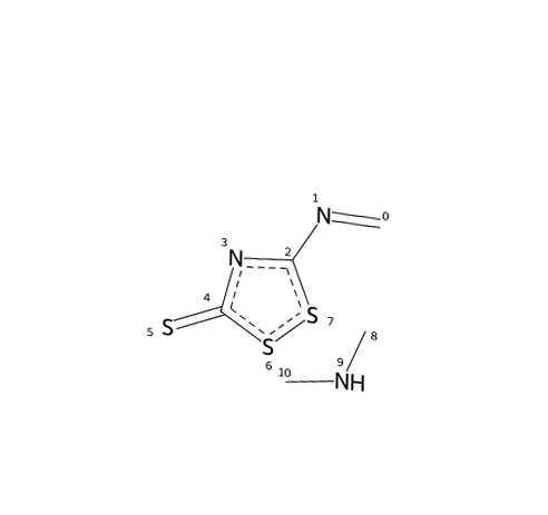 C=Nc1nc(=S)ss1.CNC